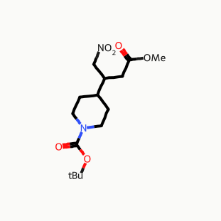 COC(=O)CC(C[N+](=O)[O-])C1CCN(C(=O)OC(C)(C)C)CC1